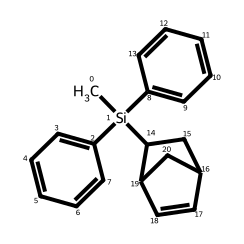 C[Si](c1ccccc1)(c1ccccc1)C1CC2C=CC1C2